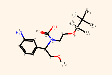 COCC(c1cccc(N)c1)N(CCO[Si](C)(C)C(C)(C)C)C(=O)O